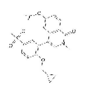 Cn1cc(-c2cc(S(C)(=O)=O)ccc2OCC2CC2)c2cc(OC(F)(F)F)ccc2c1=O